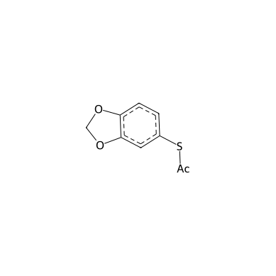 CC(=O)Sc1ccc2c(c1)OCO2